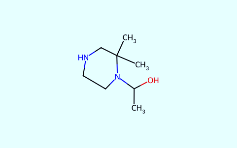 CC(O)N1CCNCC1(C)C